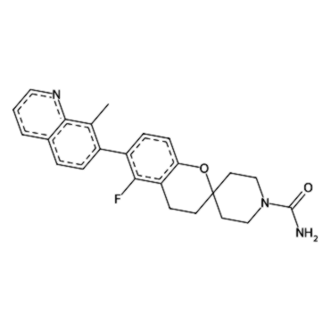 Cc1c(-c2ccc3c(c2F)CCC2(CCN(C(N)=O)CC2)O3)ccc2cccnc12